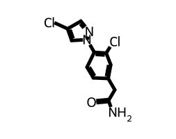 NC(=O)Cc1ccc(-n2cc(Cl)cn2)c(Cl)c1